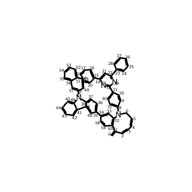 C=C1/C=C\C=C/CN(c2ccc(-c3nc(-c4ccccc4)cc(-c4ccccc4)n3)cc2)c2cc(-c3ccc4c(c3)c3ccccc3n4-c3ccc4ccccc4c3)ccc21